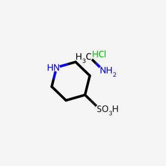 CN.Cl.O=S(=O)(O)C1CCNCC1